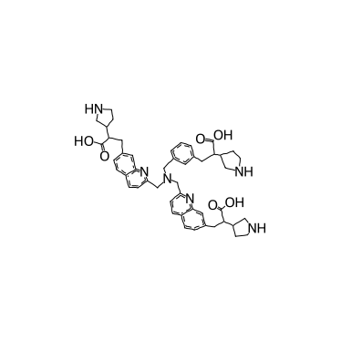 O=C(O)C(Cc1cccc(CN(Cc2ccc3ccc(CC(C(=O)O)C4CCNC4)cc3n2)Cc2ccc3ccc(CC(C(=O)O)C4CCNC4)cc3n2)c1)C1CCNC1